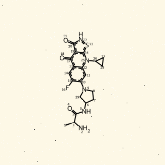 C[C@H](N)C(=O)NC1CCN(c2cc3c(cc2F)c(=O)c2c(=O)[nH]sc2n3C2CC2)C1